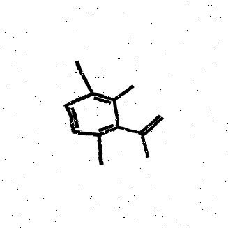 C=C(C)c1c(C)ccc(C)c1C